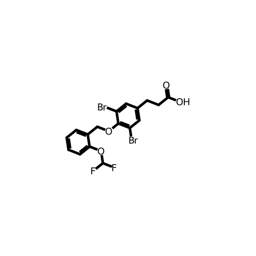 O=C(O)CCc1cc(Br)c(OCc2ccccc2OC(F)F)c(Br)c1